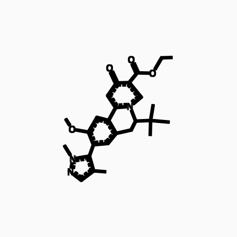 CCOC(=O)c1cn2c(cc1=O)-c1cc(OC)c(-c3c(C)cnn3C)cc1CC2C(C)(C)C